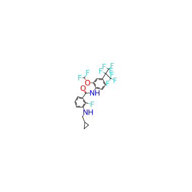 O=C(Nc1ccc(C(F)(C(F)(F)F)C(F)(F)F)cc1OC(F)F)c1cccc(NCC2CC2)c1F